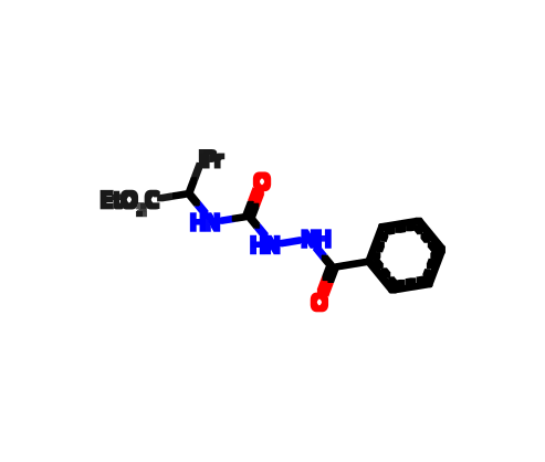 CCOC(=O)C(NC(=O)NNC(=O)c1ccccc1)C(C)C